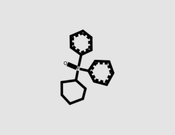 O=P(c1ccccc1)(c1ccccc1)C1CCCCC1